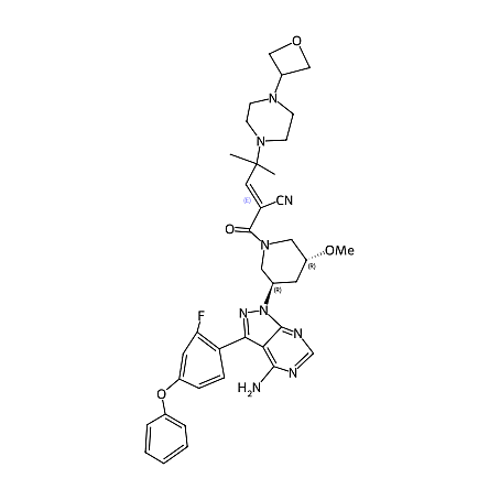 CO[C@@H]1C[C@@H](n2nc(-c3ccc(Oc4ccccc4)cc3F)c3c(N)ncnc32)CN(C(=O)/C(C#N)=C/C(C)(C)N2CCN(C3COC3)CC2)C1